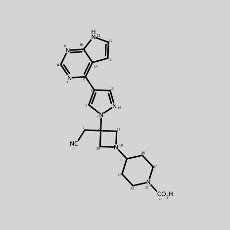 N#CCC1(n2cc(-c3ncnc4[nH]ccc34)cn2)CN(C2CCN(C(=O)O)CC2)C1